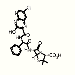 CC1(C)S[C@@H]2[C@H](NC(=O)C(NC(=O)c3nc4cc(Cl)cnc4nc3O)c3ccccc3)C(=O)N2[C@H]1C(=O)O